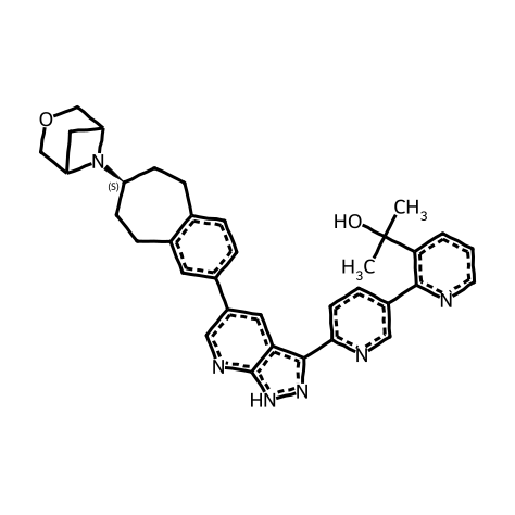 CC(C)(O)c1cccnc1-c1ccc(-c2n[nH]c3ncc(-c4ccc5c(c4)CC[C@@H](N4C6COCC4C6)CC5)cc23)nc1